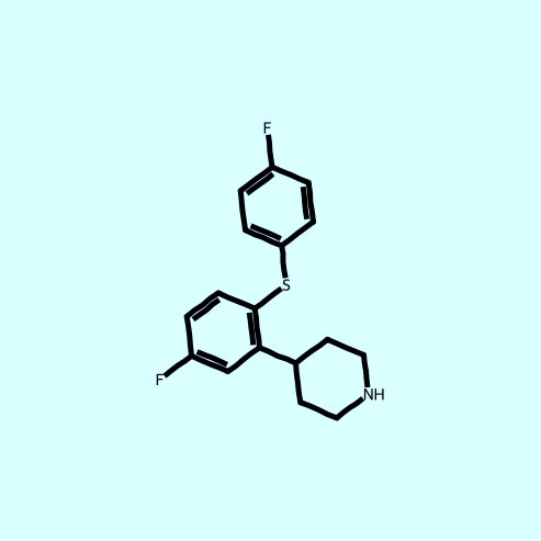 Fc1ccc(Sc2ccc(F)cc2C2CCNCC2)cc1